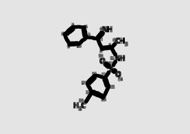 C/C(=C\C(=N)c1ccccc1)NS(=O)(=O)c1ccc(C)cc1